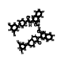 CCN(C(=O)N1CCN(c2cc(C)cc(C)c2)CC1)c1nc2ccccc2nc1OC.COc1nc2ccccc2nc1NC(=O)N1CCN(c2cc(C)cc(C)c2)CC1